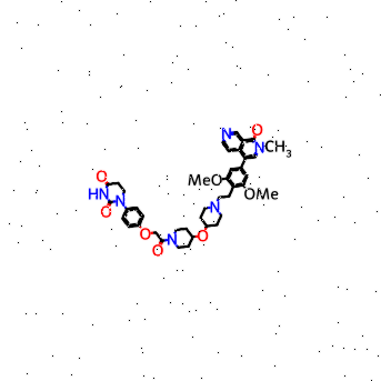 COc1cc(-c2cn(C)c(=O)c3cnccc23)cc(OC)c1CCN1CCC(OC2CCN(C(=O)COc3ccc(N4CCC(=O)NC4=O)cc3)CC2)CC1